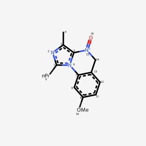 CCCc1nc(C)c2n1-c1cc(OC)ccc1C[N+]2=O